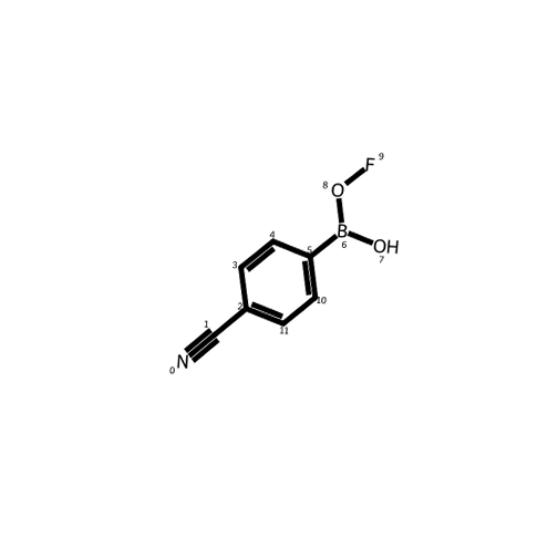 N#Cc1ccc(B(O)OF)cc1